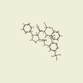 COc1ccc(C(C)(C)C)cc1CNC1CCC(c2ccccc2)N1C(=O)C(Oc1ccccc1C)C(C)C